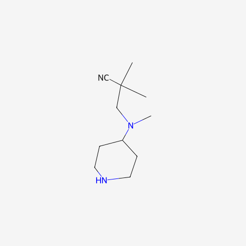 CN(CC(C)(C)C#N)C1CCNCC1